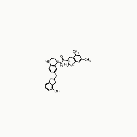 Cc1cc(C)c(C[C@H](N)C(=O)N[C@@H]2CCNc3ccc(CC4Cc5cccc(O)c5C4)cc32)c(C)c1